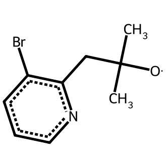 CC(C)([O])Cc1ncccc1Br